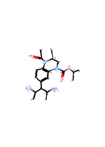 CC(=O)N1c2ccc(C(C(C)N)C(C)N)cc2N(C(=O)OC(C)C)C[C@@H]1C